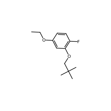 CCOc1ccc(F)c(OCC(C)(C)C)c1